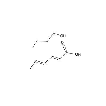 C/C=C/C=C/C(=O)O.CCCCO